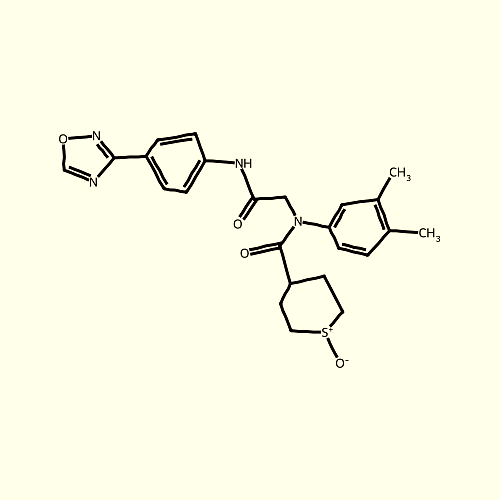 Cc1ccc(N(CC(=O)Nc2ccc(-c3ncon3)cc2)C(=O)C2CC[S+]([O-])CC2)cc1C